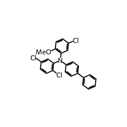 COc1ccc(Cl)cc1N(c1ccc(-c2ccccc2)cc1)c1cc(Cl)ccc1Cl